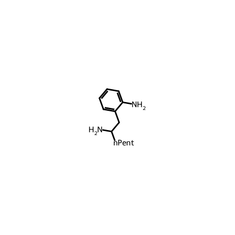 CCCCCC(N)Cc1ccccc1N